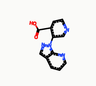 O=C(O)c1ccncc1-n1ncc2cccnc21